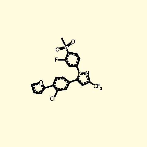 CS(=O)(=O)c1ccc(-n2nc(C(F)(F)F)cc2-c2ccc(-c3ccco3)c(Cl)c2)cc1F